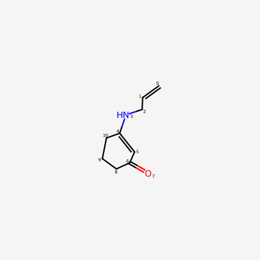 C=CCNC1=CC(=O)CCC1